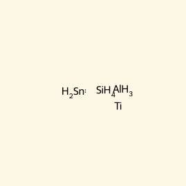 [AlH3].[SiH4].[SnH2].[Ti]